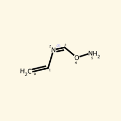 C=C/N=C\ON